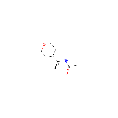 CC(=O)N[C@@H](C)C1CCOCC1